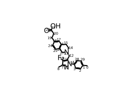 Cc1ccc(-n2nc(C)c(F)c2CN2CCc3cc(CCC(=O)O)ccc3C2)cc1